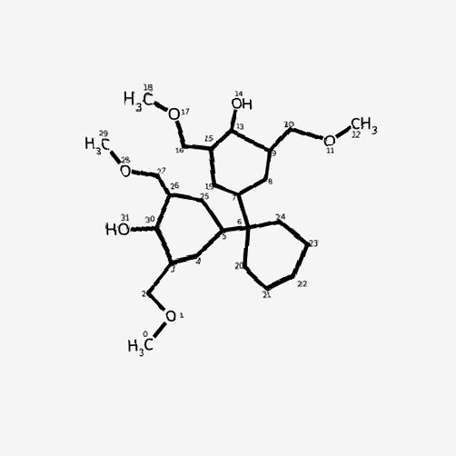 COCC1CC(C2(C3CC(COC)C(O)C(COC)C3)CCCCC2)CC(COC)C1O